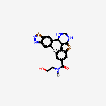 CCN(CCO)C(=O)c1ccc2c3c(sc2c1)NCNC3c1cc2snnc2cc1OC